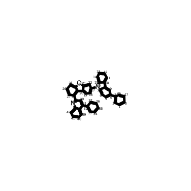 c1ccc(-c2ccc3c(c2)c2ccccc2n3-c2ccc3c(c2)oc2cccc(-c4cc(-c5ccccc5)c5ccccc5n4)c23)cc1